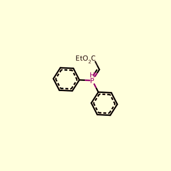 CCOC(=O)C=[PH](c1ccccc1)c1ccccc1